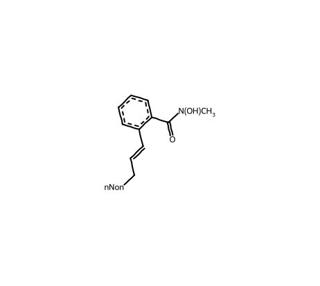 CCCCCCCCCCC=Cc1ccccc1C(=O)N(C)O